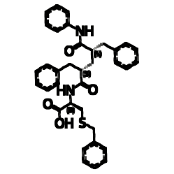 O=C(Nc1ccccc1)[C@H](Cc1ccccc1)C[C@@H](Cc1ccccc1)C(=O)N[C@@H](CSCc1ccccc1)C(=O)O